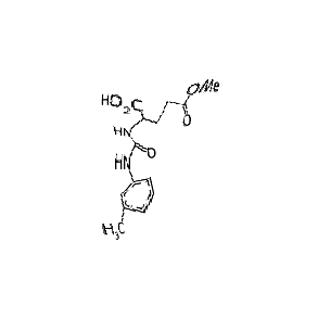 COC(=O)CCC(NC(=O)Nc1cccc(C)c1)C(=O)O